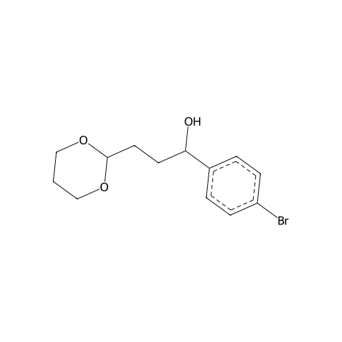 OC(CCC1OCCCO1)c1ccc(Br)cc1